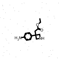 CCOC(=O)CC1(c2ccc(N)cc2)CNC1